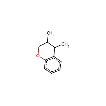 CC1COc2ccccc2C1C